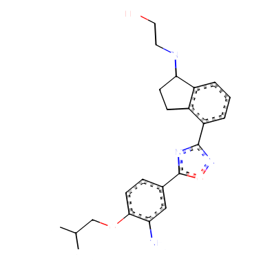 CC(C)COc1ccc(-c2nc(-c3cccc4c3CCC4NCCO)no2)cc1N